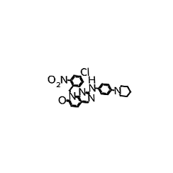 O=c1ccc2cnc(Nc3ccc(N4CCCCC4)cc3)nc2n1Cc1ccc(Cl)cc1[N+](=O)[O-]